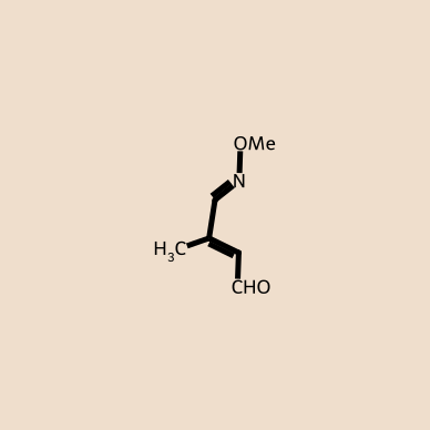 CON=CC(C)=CC=O